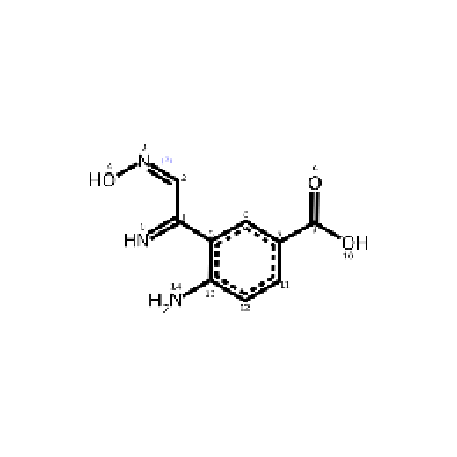 N=C(/C=N\O)c1cc(C(=O)O)ccc1N